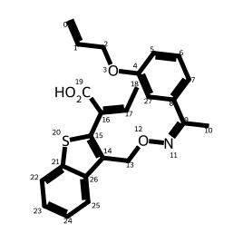 C=CCOc1cccc(C(C)=NOCc2c(C(=CC)C(=O)O)sc3ccccc23)c1